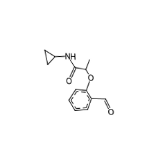 CC(Oc1ccccc1C=O)C(=O)NC1CC1